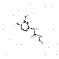 NNC(=O)Nc1ccc(Cl)c(Cl)c1